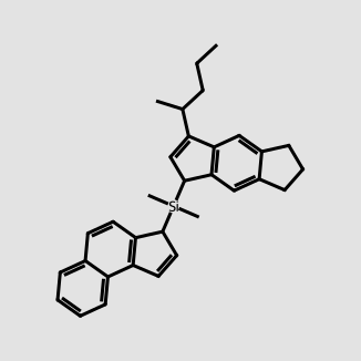 CCCC(C)C1=CC([Si](C)(C)C2C=Cc3c2ccc2ccccc32)c2cc3c(cc21)CCC3